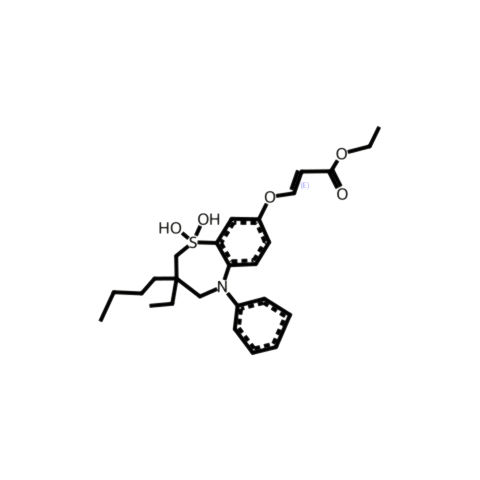 CCCCC1(CC)CN(c2ccccc2)c2ccc(O/C=C/C(=O)OCC)cc2S(O)(O)C1